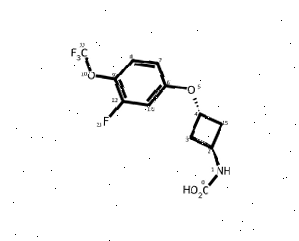 O=C(O)N[C@H]1C[C@H](Oc2ccc(OC(F)(F)F)c(F)c2)C1